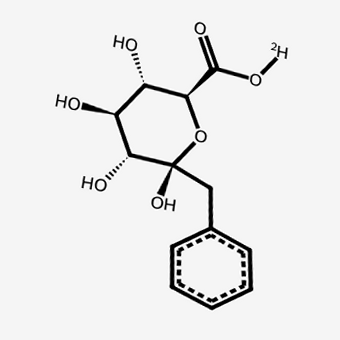 [2H]OC(=O)[C@H]1O[C@](O)(Cc2ccccc2)[C@H](O)[C@@H](O)[C@@H]1O